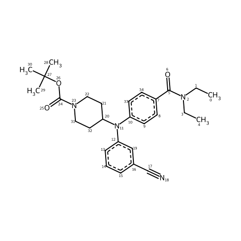 CCN(CC)C(=O)c1ccc(N(c2cccc(C#N)c2)C2CCN(C(=O)OC(C)(C)C)CC2)cc1